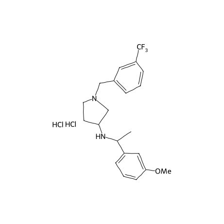 COc1cccc(C(C)NC2CCN(Cc3cccc(C(F)(F)F)c3)C2)c1.Cl.Cl